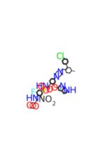 C[C@H]1CCC(CN2CCN(c3ccc(C(=O)NS(=O)(=O)c4cc(F)c(NCC5COCCO5)c([N+](=O)[O-])c4)c(Oc4cnc5[nH]ccc5c4)c3)C[C@H]2C)=C(c2ccc(Cl)cc2)C1